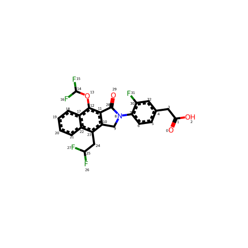 O=C(O)Cc1ccc(N2Cc3c(c(OC(F)F)c4ccccc4c3CC(F)F)C2=O)c(F)c1